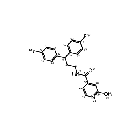 O=C(NCCC(c1ccc(F)cc1)c1ccc(F)cc1)c1ccnc(O)c1